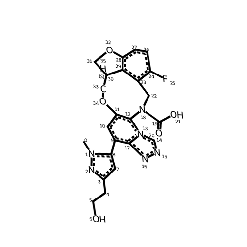 Cn1nc(CCO)cc1-c1cc2c(n3cnnc13)N(C(=O)O)Cc1c(F)ccc3c1[C@@H](CO3)CO2